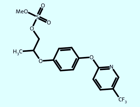 COS(=O)(=O)OCC(C)Oc1ccc(Oc2ccc(C(F)(F)F)cn2)cc1